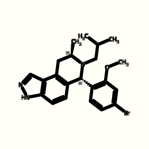 COc1cc(Br)ccc1[C@@H]1c2ccc3[nH]ncc3c2C[C@@H](C)N1CC(C)C